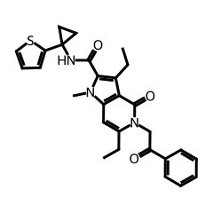 CCc1c(C(=O)NC2(c3cccs3)CC2)n(C)c2cc(CC)n(CC(=O)c3ccccc3)c(=O)c12